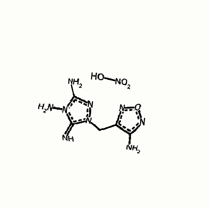 N=c1n(Cc2nonc2N)nc(N)n1N.O=[N+]([O-])O